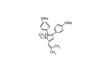 CCOC(=O)Cn1c(C=C(C)C)cc(-c2ccc(OC)cc2)c1-c1ccc(OC)cc1